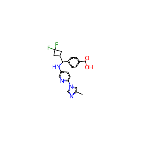 Cc1cn(-c2ccc(NC(c3ccc(C(=O)O)cc3)C3CC(F)(F)C3)cn2)cn1